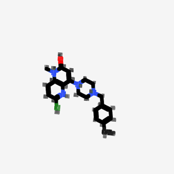 COc1ccc(CN2CCN(c3cc(=O)n(C)c4ccc(Cl)nc34)CC2)cc1